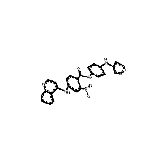 O=C(Nc1ccc(Nc2ccncc2)cc1)c1ccc(Nc2ccnc3ccccc23)cc1[N+](=O)[O-]